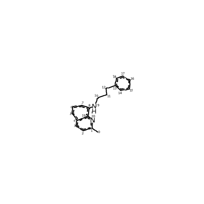 Cc1ccc2cccc(NCCCc3ccccc3)c2n1